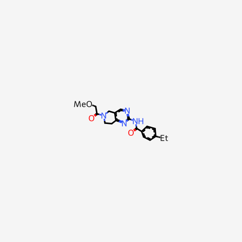 CCc1ccc(C(=O)Nc2ncc3c(n2)CCN(C(=O)COC)C3)cc1